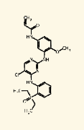 C=CC(=O)Nc1ccc(OC)c(Nc2ncc(Cl)c(Nc3ccccc3P(=O)(CC)CC)n2)c1